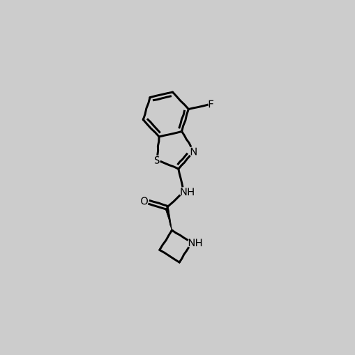 O=C(Nc1nc2c(F)cccc2s1)[C@@H]1CCN1